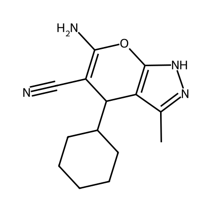 Cc1n[nH]c2c1C(C1CCCCC1)C(C#N)=C(N)O2